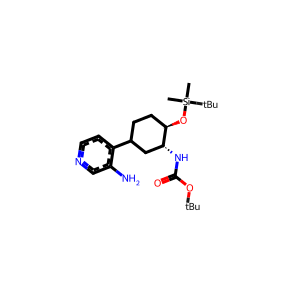 CC(C)(C)OC(=O)N[C@@H]1CC(c2ccncc2N)CC[C@H]1O[Si](C)(C)C(C)(C)C